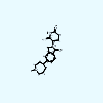 CN1CCCC(c2ccc3c(c2)CN(C2CCC(=O)NC2=O)C3=O)CC1